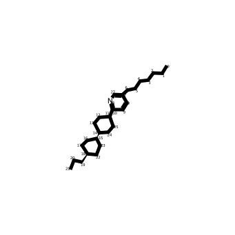 CCCCCCCc1ccc(C2CCC([C@H]3CC[C@H](CCC)CC3)CC2)nc1